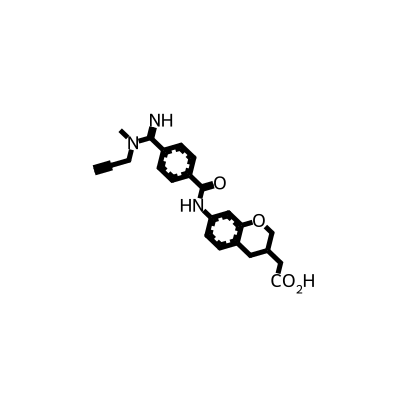 C#CCN(C)C(=N)c1ccc(C(=O)Nc2ccc3c(c2)OCC(CC(=O)O)C3)cc1